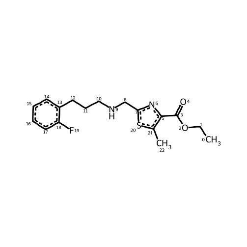 CCOC(=O)c1nc(CNCCCc2ccccc2F)sc1C